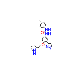 Cc1ccc(NC(=O)Nc2ccc(OCCC3CCCCN3)c(-c3ccnn3C)c2)cc1